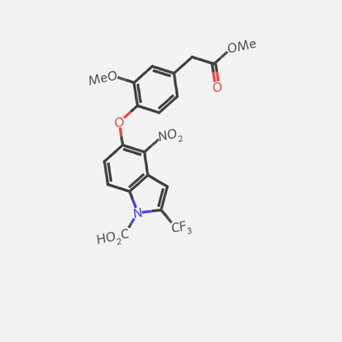 COC(=O)Cc1ccc(Oc2ccc3c(cc(C(F)(F)F)n3C(=O)O)c2[N+](=O)[O-])c(OC)c1